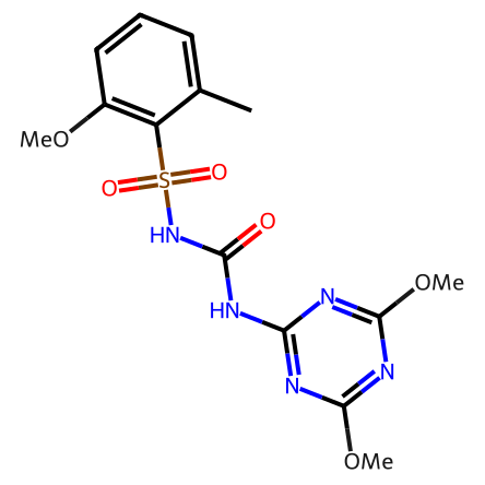 COc1nc(NC(=O)NS(=O)(=O)c2c(C)cccc2OC)nc(OC)n1